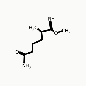 COC(=N)C(C)CCCC(N)=O